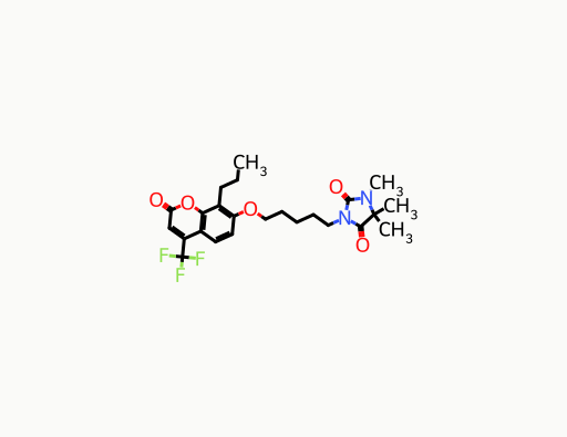 CCCc1c(OCCCCCN2C(=O)N(C)C(C)(C)C2=O)ccc2c(C(F)(F)F)cc(=O)oc12